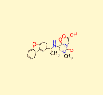 C[C@@H](Nc1cn(C)c(=O)n(CC(=O)O)c1=O)c1ccc2oc3ccccc3c2c1